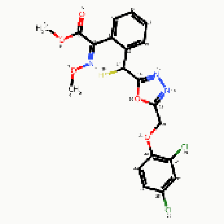 CON=C(C(=O)OC)c1ccccc1C(S)c1nnc(COc2ccc(Cl)cc2Cl)o1